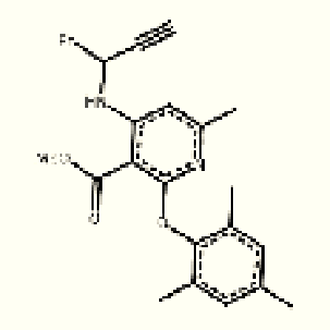 C#CC(CC)Nc1cc(C)nc(Oc2c(C)cc(C)cc2C)c1C(=O)OC